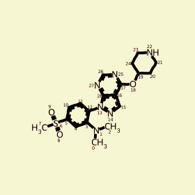 CN(C)c1cc(S(C)(=O)=O)ccc1-n1ncc2c(OC3CCNCC3)ncnc21